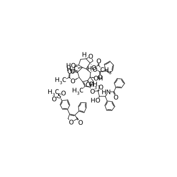 CC(=O)O[C@H]1C(=O)[C@@]2(C)[C@H]([C@H](OC(=O)c3ccccc3)[C@]3(O)C[C@H](OC(=O)[C@H](O)[C@@H](NC(=O)c4ccccc4)c4ccccc4)C(C)=C1C3(C)C)[C@]1(OC(C)=O)CO[C@@H]1C[C@@H]2O.CS(=O)(=O)c1ccc(C2=C(c3ccccc3)C(=O)OC2)cc1